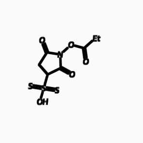 CCC(=O)ON1C(=O)CC(S(O)(=S)=S)C1=O